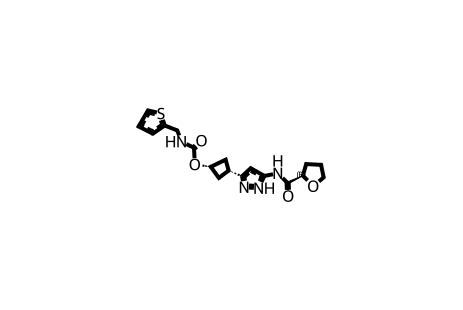 O=C(NCc1cccs1)O[C@H]1C[C@@H](c2cc(NC(=O)[C@H]3CCCO3)[nH]n2)C1